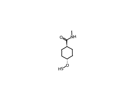 CNC(=O)[C@H]1CC[C@H](OS)CC1